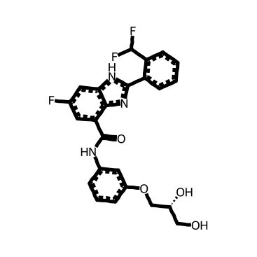 O=C(Nc1cccc(OC[C@H](O)CO)c1)c1cc(F)cc2[nH]c(-c3ccccc3C(F)F)nc12